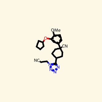 COc1ccc(C2(C#N)CCC(c3nnnn3CCC#N)CC2)cc1OC1CCCC1